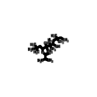 C=C(C)C(=O)OC(CC(C)(C)C)C(C)(C)C(C)(C)C(O)CC(C)(C)CC